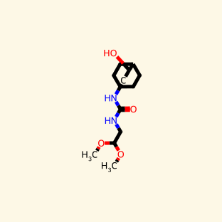 COC(CNC(=O)NC12CCC(CC1)C(O)C2)OC